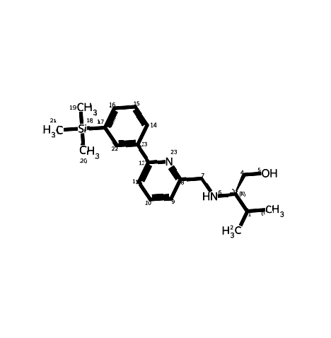 CC(C)[C@H](CO)NCc1cccc(-c2cccc([Si](C)(C)C)c2)n1